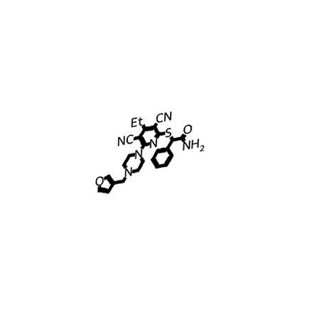 CCc1c(C#N)c(SC(C(N)=O)c2ccccc2)nc(N2CCN(Cc3ccoc3)CC2)c1C#N